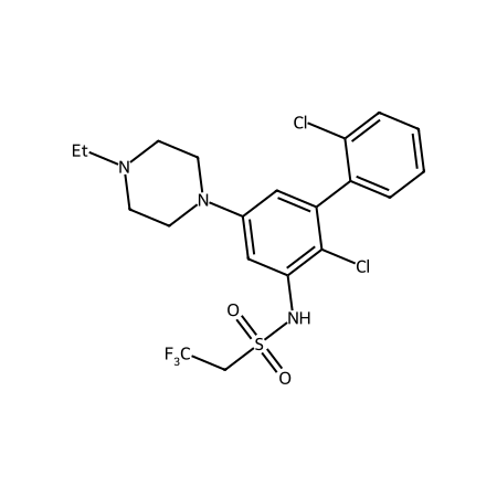 CCN1CCN(c2cc(NS(=O)(=O)CC(F)(F)F)c(Cl)c(-c3ccccc3Cl)c2)CC1